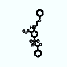 O=C(NS(=O)(=O)c1ccc(NCCSc2ccccc2)c([N+](=O)[O-])c1)c1ccccc1